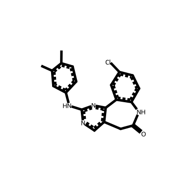 Cc1ccc(Nc2ncc3c(n2)-c2cc(Cl)ccc2NC(=O)C3)cc1C